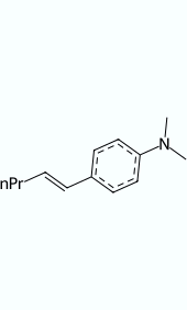 CCC/C=C/c1ccc(N(C)C)cc1